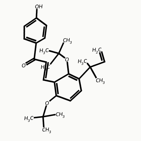 C=CC(C)(C)c1ccc(OC(C)(C)C)c(C=CC(=O)c2ccc(O)cc2)c1OC(C)(C)C